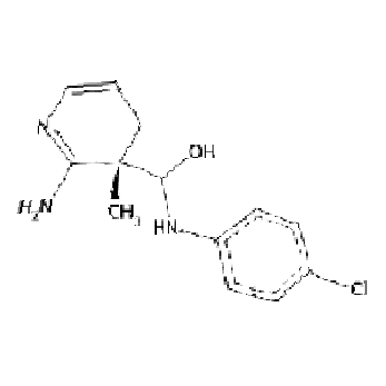 C[C@]1(C(O)Nc2ccc(Cl)cc2)CC=CN=C1N